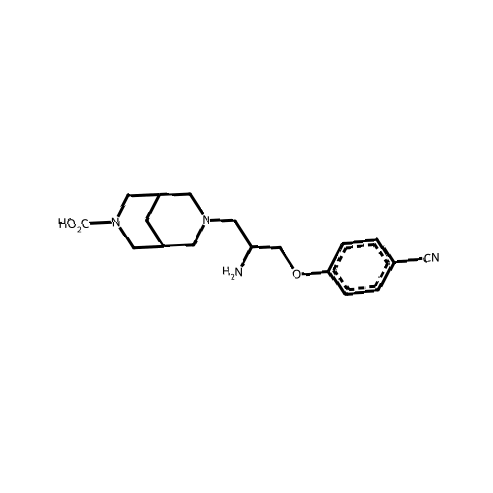 N#Cc1ccc(OCC(N)CN2CC3CC(C2)CN(C(=O)O)C3)cc1